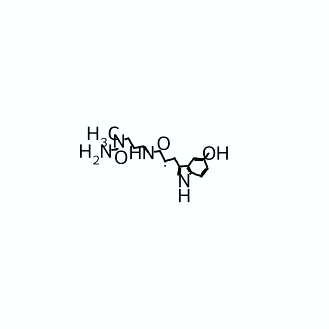 CN(CCCNC(=O)[CH]Cc1c[nH]c2ccc(O)cc12)C(N)=O